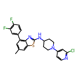 Cc1cc(-c2ccc(F)c(F)c2)c2nc(NC3CCN(c4ccnc(Cl)c4)CC3)sc2c1